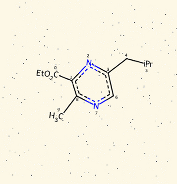 CCOC(=O)c1nc(CC(C)C)cnc1C